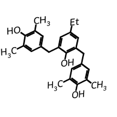 CCc1cc(Cc2cc(C)c(O)c(C)c2)c(O)c(Cc2cc(C)c(O)c(C)c2)c1